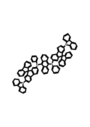 C1=Cc2c(n(-c3ccc4c(c3)C3(c5ccccc5-c5ccccc53)c3cc(N(c5ccccc5)c5c6ccccc6c(N(c6ccccc6)c6ccc7c(c6)C6(c8ccccc8-c8ccccc86)c6cc(-n8c9ccccc9c9ccccc98)ccc6-7)c6ccccc56)ccc3-4)c3ccccc23)CC1